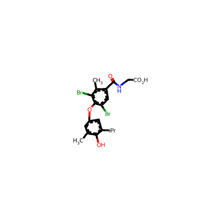 Cc1cc(Oc2c(Br)cc(C(=O)NCC(=O)O)c(C)c2Br)cc(C(C)C)c1O